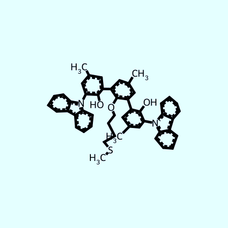 CSCCCCOc1c(-c2cc(C)cc(-n3c4ccccc4c4ccccc43)c2O)cc(C)cc1-c1cc(C)cc(-n2c3ccccc3c3ccccc32)c1O